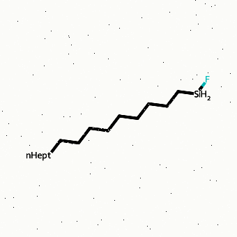 CCCCCCCCCCCCCCCC[SiH2]F